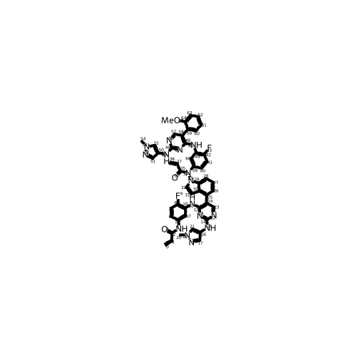 C=CC(=O)Nc1ccc(F)c(Nc2nc(Nc3cnn(C)c3)ncc2-c2cccc3c2ccn3N(C(=O)C=C)c2ccc(F)c(Nc3nc(Nc4cnn(C)c4)ncc3-c3ccccc3OC)c2)c1